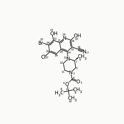 C[C@H]1CN(C(=O)OC(C)(C)C)CCN1c1c(C#N)c(O)nc2c(O)c(Br)c(Cl)cc12